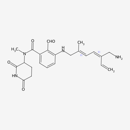 C=C/C(=C\C=C(/C)CNc1cccc(C(=O)N(C)C2CCC(=O)NC2=O)c1C=O)CN